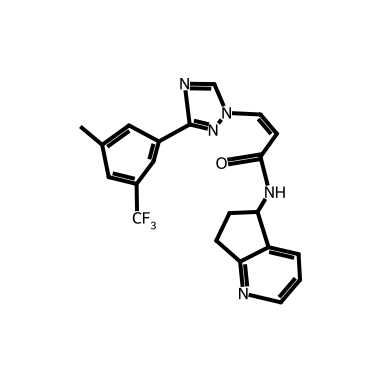 Cc1cc(-c2ncn(/C=C\C(=O)NC3CCc4ncccc43)n2)cc(C(F)(F)F)c1